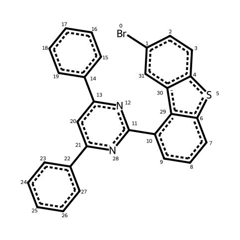 Brc1ccc2sc3cccc(-c4nc(-c5ccccc5)cc(-c5ccccc5)n4)c3c2c1